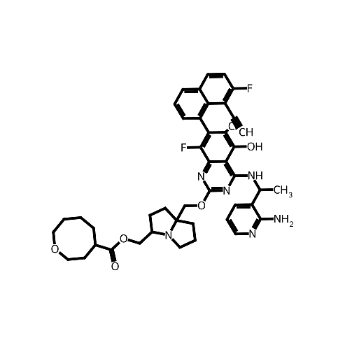 C#Cc1c(F)ccc2cccc(-c3c(Cl)c(O)c4c(NC(C)c5cccnc5N)nc(OCC56CCCN5C(COC(=O)C5CCCCOCC5)CC6)nc4c3F)c12